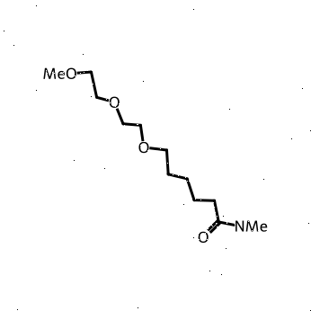 CNC(=O)CCCCCOCCOCCOC